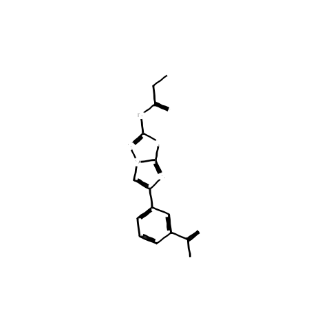 CCC(=O)Nc1nn2cc(-c3cccc(C(C)=O)c3)nc2s1